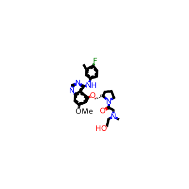 COc1cc(OC[C@@H]2CCCN2C(=O)CN(C)CCO)c2c(Nc3ccc(F)c(C)c3)ncnc2c1